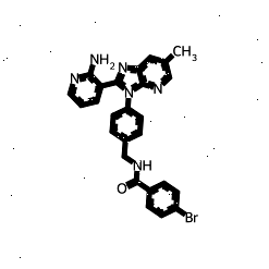 Cc1cnc2c(c1)nc(-c1cccnc1N)n2-c1ccc(CNC(=O)c2ccc(Br)cc2)cc1